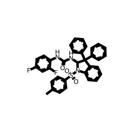 Cc1ccc(S(=O)(=O)N2c3ccccc3C(c3ccccc3)(c3ccccc3)C2NC(=O)Nc2ccc(F)cc2F)cc1